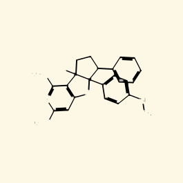 COc1cc2c(c(OC)n1)C1(O)CCC(c3ccccc3)C1(c1ccc(NC#N)cc1)O2